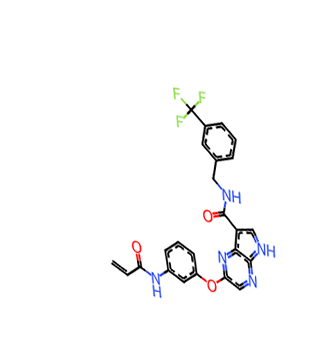 C=CC(=O)Nc1cccc(Oc2cnc3[nH]cc(C(=O)NCc4cccc(C(F)(F)F)c4)c3n2)c1